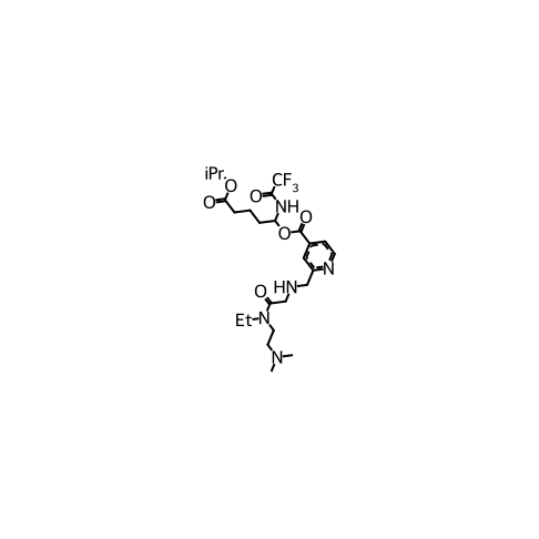 CCN(CCN(C)C)C(=O)CNCc1cc(C(=O)OC(CCCC(=O)OC(C)C)NC(=O)C(F)(F)F)ccn1